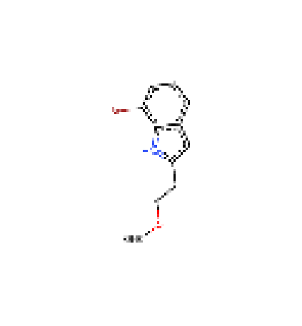 O=COCCc1cc2cccc(Br)c2[nH]1